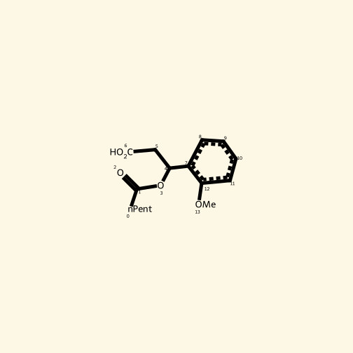 CCCCCC(=O)OC(CC(=O)O)c1ccccc1OC